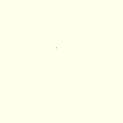 C[C@H](NC(=O)O)c1nc2ccn(C)c2cc1N1CCCC(O)C1